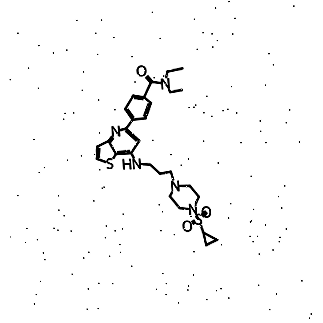 CCN(CC)C(=O)c1ccc(-c2cc(NCCCN3CCN(S(=O)(=O)C4CC4)CC3)c3sccc3n2)cc1